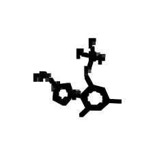 CCCn1cc[n+](-c2c(C)cc(C)cc2C)c1.F[B-](F)(F)F